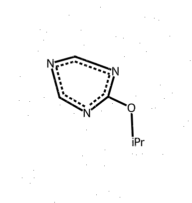 CC(C)Oc1ncncn1